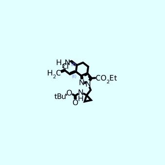 C=C(Cl)/C=C1\C(=C/N)CCc2c1nn(CC1(NC(=O)OC(C)(C)C)CC1)c2C(=O)OCC